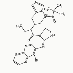 CCC(C(=O)N1CCN/C1=N/c1ccc2nccnc2c1Br)C(COC(=O)C(C)(C)C)Cc1cncn1C